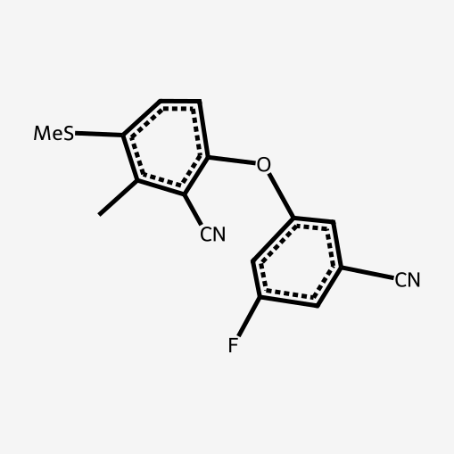 CSc1ccc(Oc2cc(F)cc(C#N)c2)c(C#N)c1C